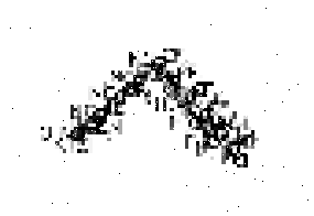 N#Cc1cc(C(F)(F)F)cc(Br)c1Cl.N#Cc1cc(C(F)(F)F)cc(Br)c1F.N#Cc1cc(C(F)(F)F)cc(Br)c1N.N#Cc1cc(C(F)(F)F)cc(C#N)c1N.N#Cc1cc(C(F)(F)F)cc(Cl)c1F.N#Cc1cc(C(F)(F)F)cc(Cl)c1N.N#Cc1cc(Cl)cc(C#N)c1C(F)(F)F.Nc1c(Cl)cc(OC(F)(F)F)cc1[N+](=O)[O-].O=[N+]([O-])c1cc(OC(F)(F)F)cc(Cl)c1Cl.O=[N+]([O-])c1cc(OC(F)(F)F)cc(Cl)c1F